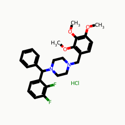 COc1ccc(CN2CCN(C(c3ccccc3)c3cccc(F)c3F)CC2)c(OC)c1OC.Cl